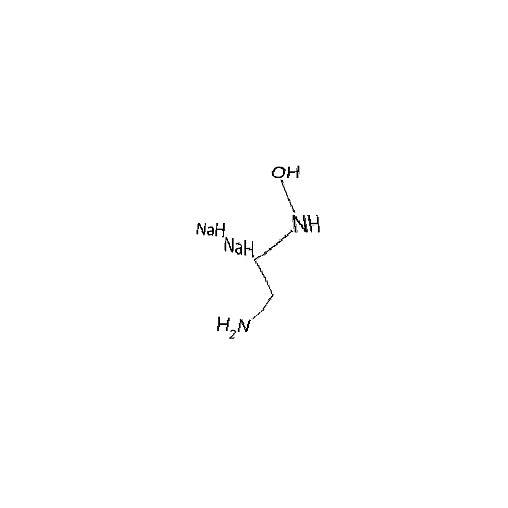 NCCNO.[NaH].[NaH]